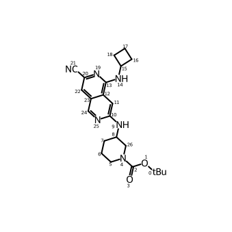 CC(C)(C)OC(=O)N1CCCC(Nc2cc3c(NC4CCC4)nc(C#N)cc3cn2)C1